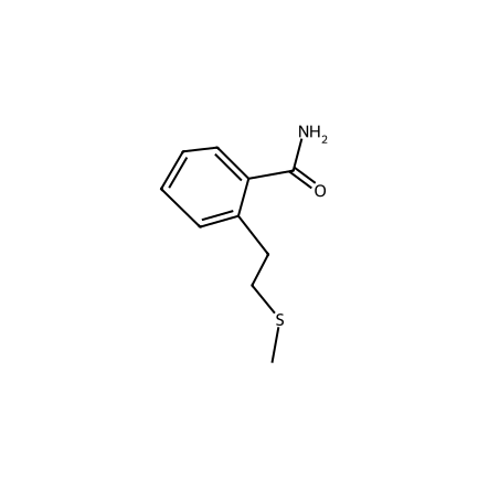 CSCCc1ccccc1C(N)=O